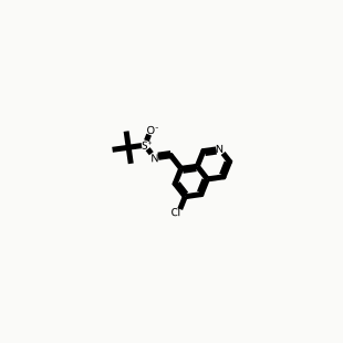 CC(C)(C)[S+]([O-])N=Cc1cc(Cl)cc2ccncc12